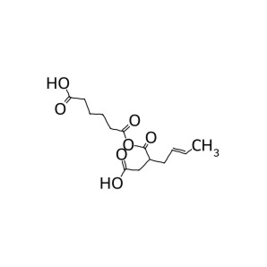 CC=CCC(CC(=O)O)C(=O)OC(=O)CCCCC(=O)O